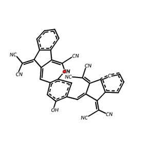 N#CC(C#N)=C1C(=Cc2cc(O)c(C=C3C(=C(C#N)C#N)c4ccccc4C3=C(C#N)C#N)cc2O)C(=C(C#N)C#N)c2ccccc21